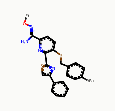 CCO/N=C(\N)c1ccc(SCc2ccc(C(C)(C)C)cc2)c(-c2nc(-c3ccccc3)cs2)n1